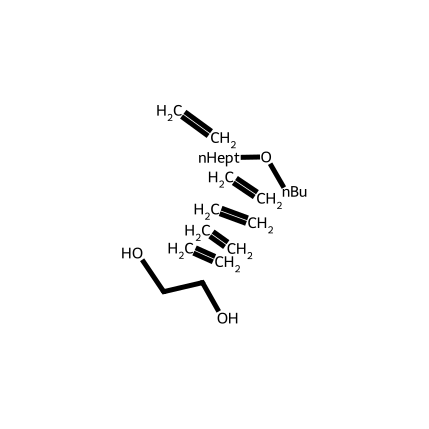 C=C.C=C.C=C.C=C.C=C.CCCCCCCOCCCC.OCCO